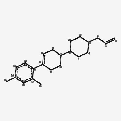 C=CCC1CCC(C2CC=C(c3ccc(C)cc3C)CC2)CC1